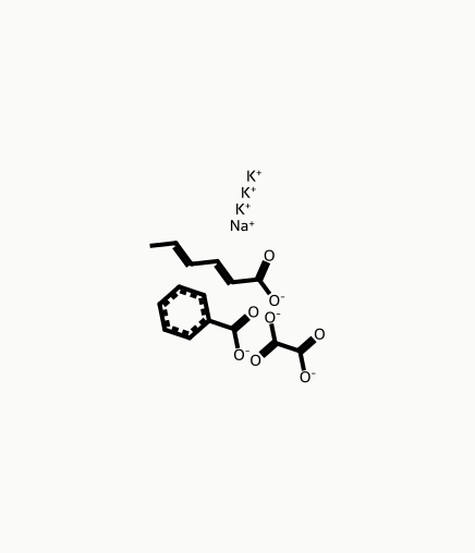 CC=CC=CC(=O)[O-].O=C([O-])C(=O)[O-].O=C([O-])c1ccccc1.[K+].[K+].[K+].[Na+]